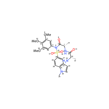 COc1cc(N(C(=O)[C@H](C)NC(=O)[C@H](C)N)S(=O)(=O)c2ccc3c(ccn3C)c2)cc(OC)c1OC